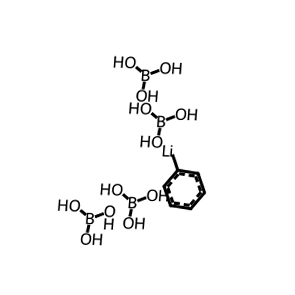 OB(O)O.OB(O)O.OB(O)O.OB(O)O.[Li][c]1ccccc1